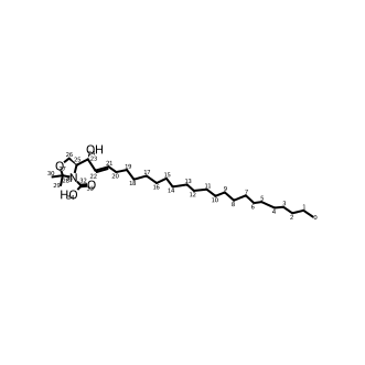 CCCCCCCCCCCCCCCCCCCCC/C=C/[C@@H](O)[C@@H]1COC(C)(C)N1C(=O)O